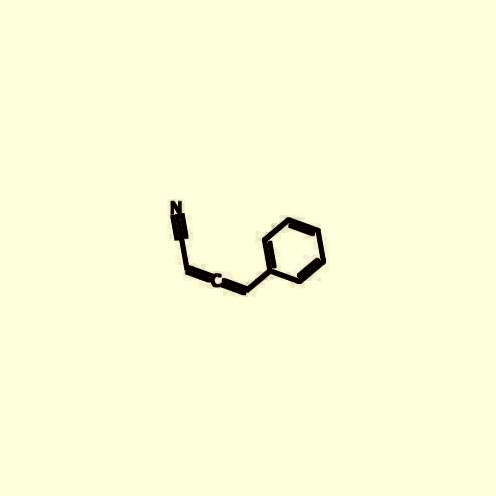 N#CC=C=Cc1ccccc1